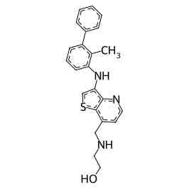 Cc1c(Nc2csc3c(CNCCO)ccnc23)cccc1-c1ccccc1